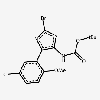 COc1ccc(Cl)cc1-c1nc(Br)sc1NC(=O)OC(C)(C)C